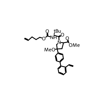 C=CCCCOC(=O)N[C@H](C(=O)N1CC(OC)(c2ccc(-c3ccccc3C=C)cc2)CC1C(=O)OC)C(C)(C)C